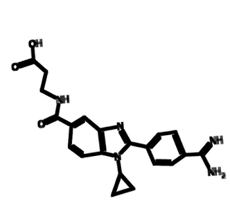 N=C(N)c1ccc(-c2nc3cc(C(=O)NCCC(=O)O)ccc3n2C2CC2)cc1